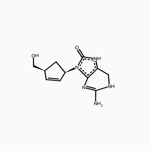 NC1=Nc2c([nH]c(=O)n2[C@H]2C=C[C@@H](CO)C2)CN1